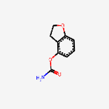 NC(=O)Oc1cccc2c1CCO2